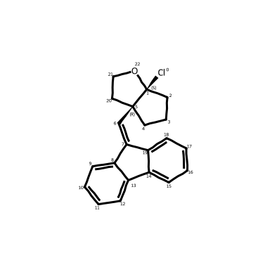 Cl[C@@]12CCC[C@]1(C=C1c3ccccc3-c3ccccc31)CCO2